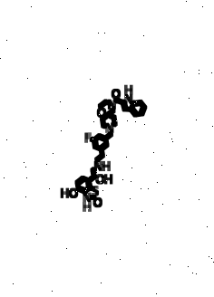 O=C(c1cc2ccccc2[nH]1)N1CCOC2(CCN(Cc3cc(F)cc(CCNCC(O)c4ccc(O)c5[nH]c(=O)sc45)c3)CC2)C1